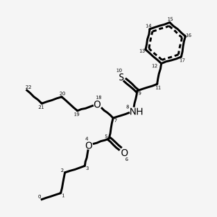 CCCCOC(=O)C(NC(=S)Cc1ccccc1)OCCCC